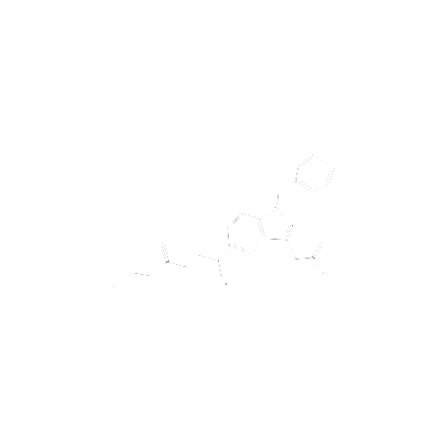 CCOC(=O)CCC(O)c1ccc2c(c1)c(CC(N)=O)c(Cl)n2Cc1ccccc1